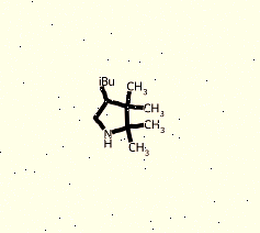 CCC(C)C1CNC(C)(C)C1(C)C